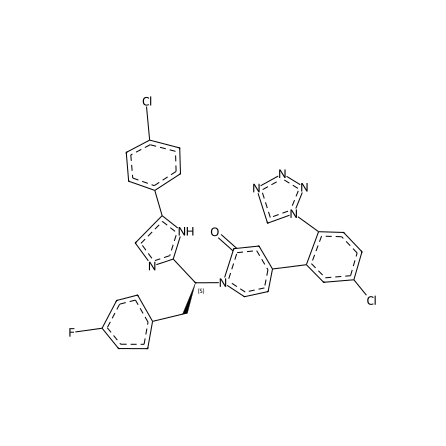 O=c1cc(-c2cc(Cl)ccc2-n2cnnn2)ccn1[C@@H](Cc1ccc(F)cc1)c1ncc(-c2ccc(Cl)cc2)[nH]1